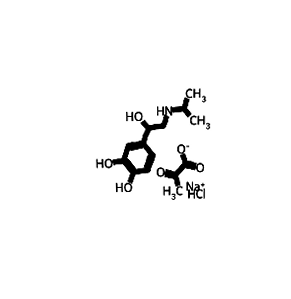 CC(=O)C(=O)[O-].CC(C)NCC(O)c1ccc(O)c(O)c1.Cl.[Na+]